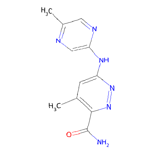 Cc1cnc(Nc2cc(C)c(C(N)=O)nn2)cn1